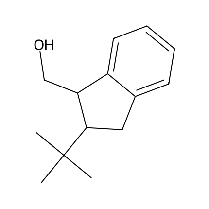 CC(C)(C)C1Cc2ccccc2C1CO